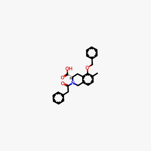 Cc1ccc2c(c1OCc1ccccc1)C[C@@H](C(=O)O)N(C(=O)Cc1ccccc1)C2